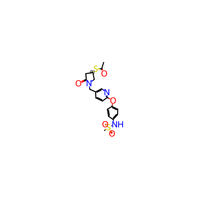 CC(=O)S[C@@H]1CC(=O)N(Cc2ccc(Oc3ccc(NS(C)(=O)=O)cc3)nc2)C1